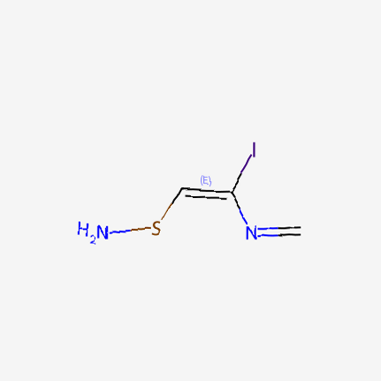 C=N/C(I)=C\SN